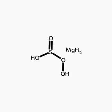 O=S(O)OO.[MgH2]